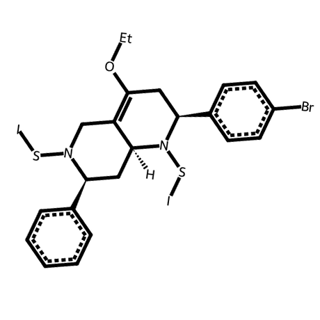 CCOC1=C2CN(SI)[C@H](c3ccccc3)C[C@@H]2N(SI)[C@H](c2ccc(Br)cc2)C1